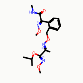 CNC(=O)/C(=N/OC)c1ccccc1CO/N=C(C)/C(=N/OC)OC(C)C